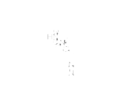 O=C1CCC(N2C(=O)c3ccc(OC4CC(N5CCC(N6CCCCC6)CC5)C4)cc3C2=O)C(=O)N1